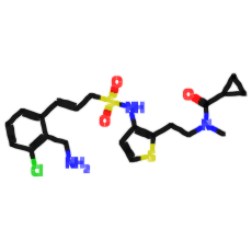 CN(CCc1sccc1NS(=O)(=O)CC=Cc1cccc(Cl)c1CN)C(=O)C1CC1